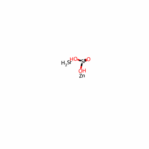 O=[Si](O)O.[SrH2].[Zn]